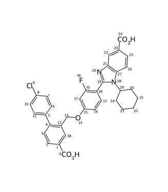 O=C(O)c1ccc(-c2ccc(Cl)cc2)c(COc2ccc(-c3nc4cc(C(=O)O)ccc4n3C3CCCCC3)c(F)c2)c1